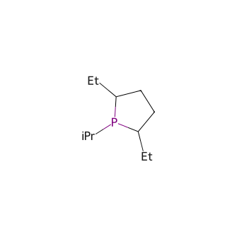 CCC1CCC(CC)P1C(C)C